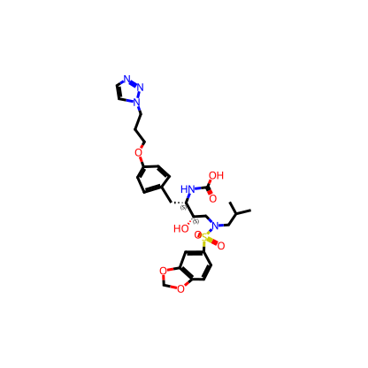 CC(C)CN(C[C@H](O)[C@H](Cc1ccc(OCCCn2ccnn2)cc1)NC(=O)O)S(=O)(=O)c1ccc2c(c1)OCO2